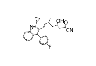 CC(/C=C/c1c(C2CC2)nc2ccccc2c1-c1ccc(F)cc1)CC(O)CC(=O)C#N